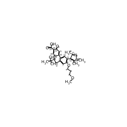 COCCCOc1cc2c(cc1-c1c(C)nn(C)c1C)-c1cc(=O)c(C(=O)O)cn1[C@H](C(C)(C)C)C2